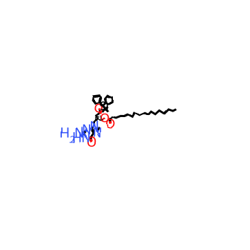 CCCCCCCCCCCCCCCCCC(=O)OC[C@H](CCO[Si](c1ccccc1)(c1ccccc1)C(C)(C)C)Cn1cnc2c(=O)[nH]c(N)nc21